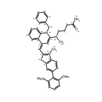 COc1cccc(OC)c1-c1ccc2c(c1)sc(/C=C1\C=C(N(C)CCCC(N)=O)N(Cc3ccccc3)c3ccccc31)[n+]2C